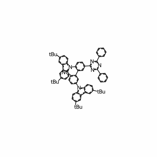 CC(C)(C)c1ccc2c(c1)c1cc(C(C)(C)C)ccc1n2-c1ccc(C#N)c(-c2cc(-c3nc(-c4ccccc4)nc(-c4ccccc4)n3)ccc2-n2c3ccc(C(C)(C)C)cc3c3cc(C(C)(C)C)ccc32)c1